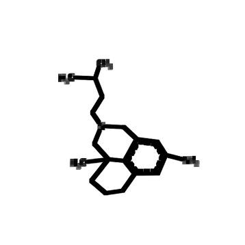 CC(C)CCN1Cc2cc(N)cc3c2C(C)(CCC3)C1